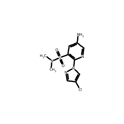 CN(C)S(=O)(=O)c1cc(N)cnc1-n1cc(Cl)cn1